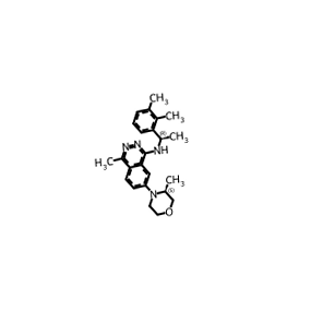 Cc1cccc([C@@H](C)Nc2nnc(C)c3ccc(N4CCOC[C@@H]4C)cc23)c1C